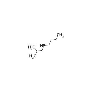 CCCCPCC(C)C